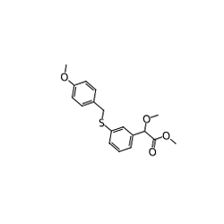 COC(=O)C(OC)c1cccc(SCc2ccc(OC)cc2)c1